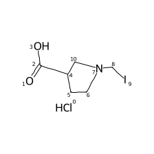 Cl.O=C(O)C1CCN(CI)C1